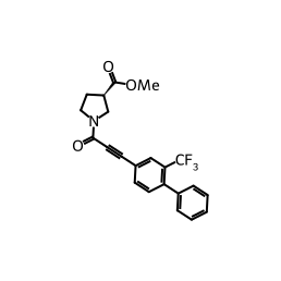 COC(=O)[C@@H]1CCN(C(=O)C#Cc2ccc(-c3ccccc3)c(C(F)(F)F)c2)C1